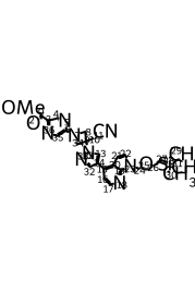 COC(=O)c1cnc(N2CC(CC#N)(n3cc(-c4ccnc5c4ccn5COCC[Si](C)(C)C)cn3)C2)cn1